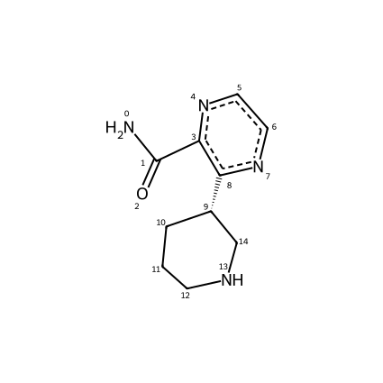 NC(=O)c1nccnc1[C@H]1CCCNC1